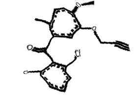 C#CCOc1cc(C(=O)c2c(Cl)cccc2Cl)c(C)cc1OC